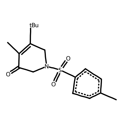 CC1=C(C(C)(C)C)CN(S(=O)(=O)c2ccc(C)cc2)CC1=O